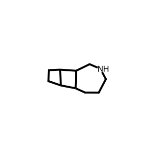 C1CNCC2C(C1)C1CCC12